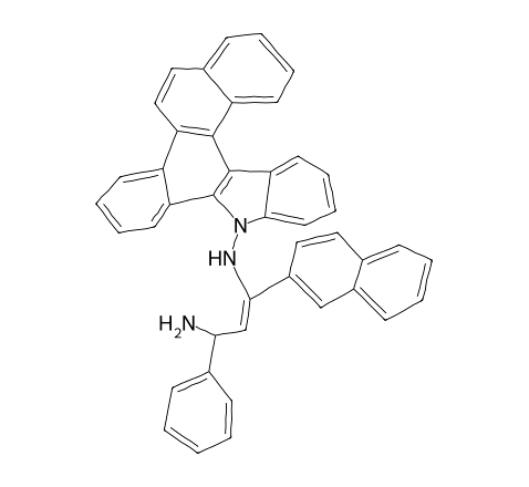 NC(/C=C(\Nn1c2ccccc2c2c3c4ccccc4ccc3c3ccccc3c21)c1ccc2ccccc2c1)c1ccccc1